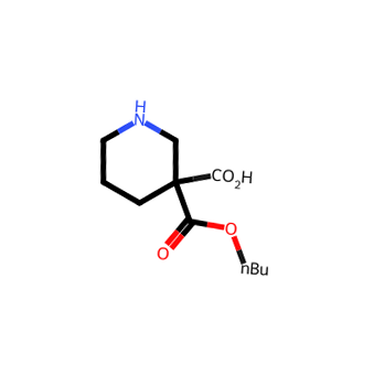 CCCCOC(=O)C1(C(=O)O)CCCNC1